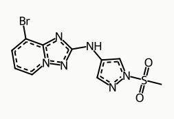 CS(=O)(=O)n1cc(Nc2nc3c(Br)cccn3n2)cn1